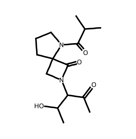 CC(=O)C(C(C)O)N1CC2(CCCN2C(=O)C(C)C)C1=O